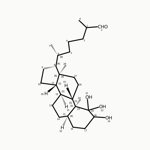 CC(C=O)CCC[C@@H](C)[C@H]1CC[C@H]2[C@@H]3CC[C@@H]4CCC(O)C(O)(O)[C@]4(C)[C@H]3CC[C@]12C